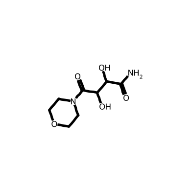 NC(=O)C(O)C(O)C(=O)N1CCOCC1